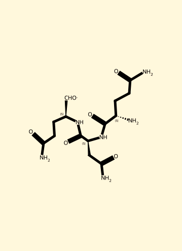 NC(=O)CC[C@@H]([C]=O)NC(=O)[C@H](CC(N)=O)NC(=O)[C@@H](N)CCC(N)=O